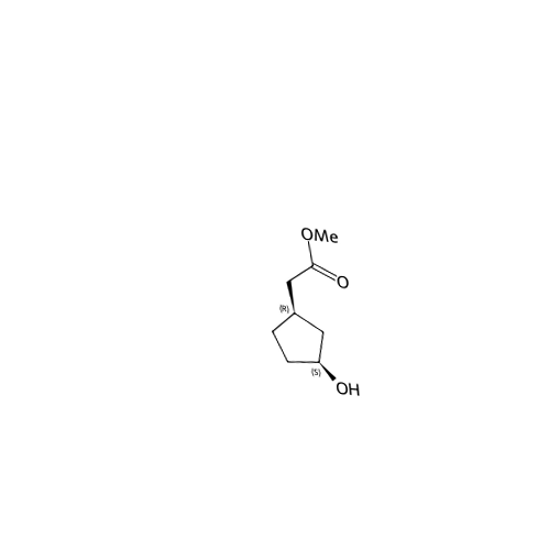 COC(=O)C[C@@H]1CC[C@H](O)C1